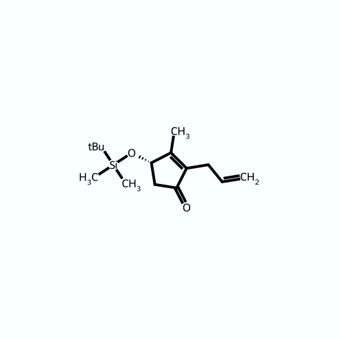 C=CCC1=C(C)[C@@H](O[Si](C)(C)C(C)(C)C)CC1=O